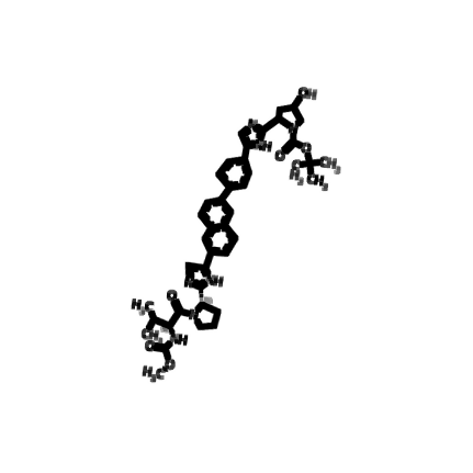 COC(=O)N[C@H](C(=O)N1CCC[C@H]1c1ncc(-c2ccc3cc(-c4ccc(-c5cnc(C6CC(O)CN6C(=O)OC(C)(C)C)[nH]5)cc4)ccc3c2)[nH]1)C(C)C